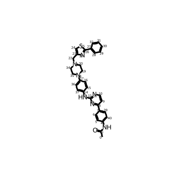 CC(=O)Nc1ccc(-c2ccnc(Nc3ccc(N4CCN(Cc5csc(-c6ccccc6)n5)CC4)cc3)n2)cc1